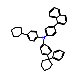 c1ccc(C2(c3ccc(N(c4ccc(-c5cccc6ccccc56)cc4)c4ccc(C5CCCCC5)cc4)cc3)CCCCC2)cc1